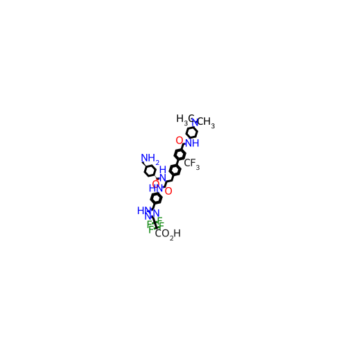 CN(C)C1CCC(NC(=O)c2ccc(-c3ccc(CC(NC(=O)[C@H]4CC[C@H](CN)CC4)C(=O)Nc4ccc(-c5nc(C(F)(F)C(F)(F)C(=O)O)n[nH]5)cc4)cc3)c(C(F)(F)F)c2)CC1